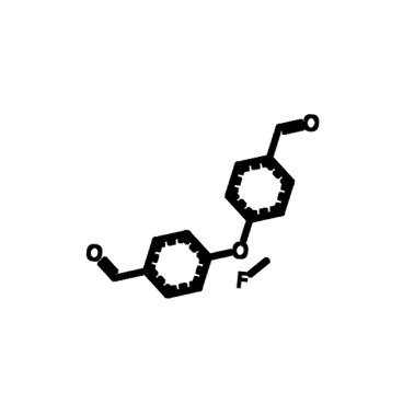 CF.O=Cc1ccc(Oc2ccc(C=O)cc2)cc1